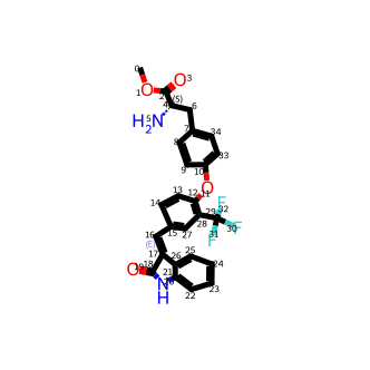 COC(=O)[C@@H](N)Cc1ccc(Oc2ccc(/C=C3/C(=O)Nc4ccccc43)cc2C(F)(F)F)cc1